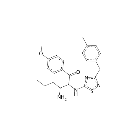 CCCC(N)C(Nc1nc(Cc2ccc(C)cc2)ns1)C(=O)c1ccc(OC)cc1